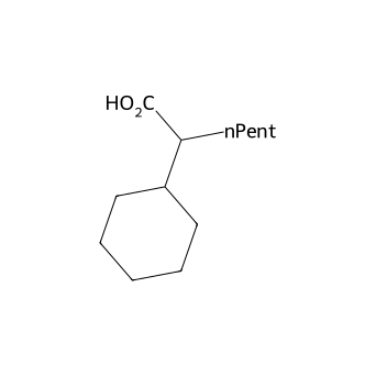 CCCCCC(C(=O)O)C1CCCCC1